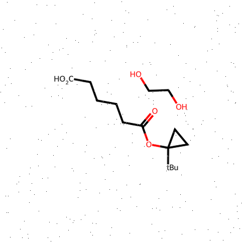 CC(C)(C)C1(OC(=O)CCCCC(=O)O)CC1.OCCO